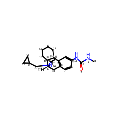 CNC(=O)Nc1ccc2c(c1)[C@@]13CCCC[C@H]1[C@@H](C2)N(CC1CC1)CC3